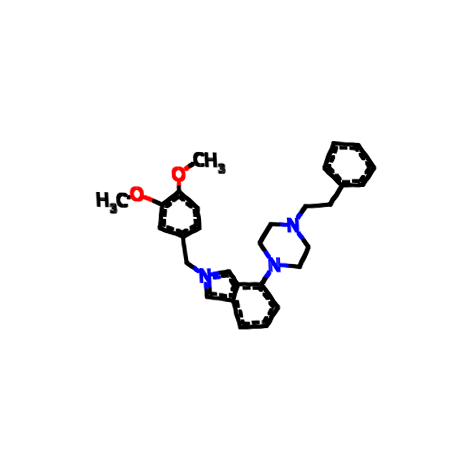 COc1ccc(Cn2cc3cccc(N4CCN(CCc5ccccc5)CC4)c3c2)cc1OC